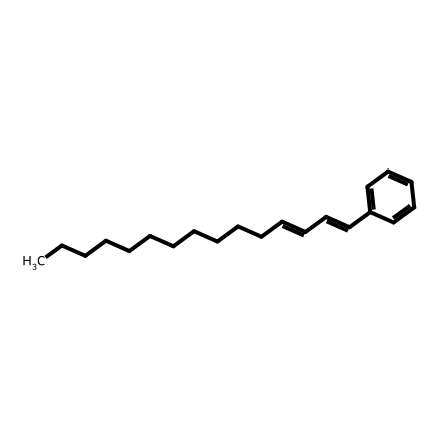 CCCCCCCCCCC/C=C/C=C/c1c[c]ccc1